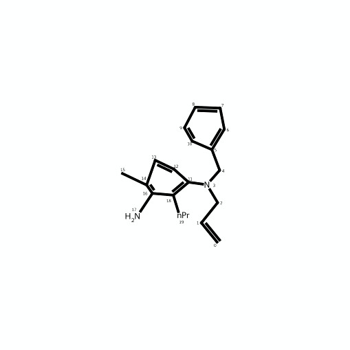 C=CCN(Cc1ccccc1)c1ccc(C)c(N)c1CCC